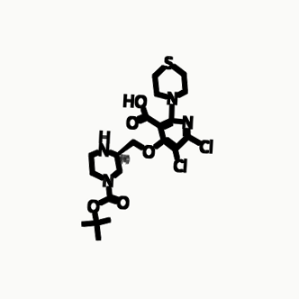 CC(C)(C)OC(=O)N1CCN[C@@H](COc2c(Cl)c(Cl)nc(N3CCSCC3)c2C(=O)O)C1